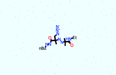 CCCCN=NC(=O)C(C)(CN=[N+]=[N-])N=NC(C)(C)C(=O)NCC